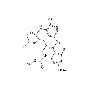 COc1ccc(NC(=O)c2cnc(C(F)(F)F)c(Nc3ccc(F)cc3CCCNC(=O)OC(C)(C)C)c2)c(Br)n1